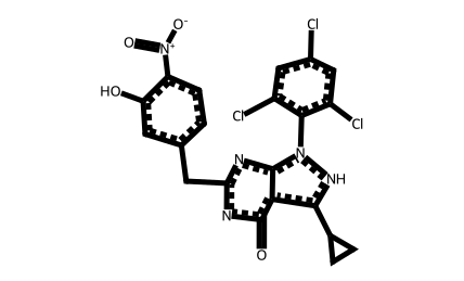 O=c1nc(Cc2ccc([N+](=O)[O-])c(O)c2)nc2n(-c3c(Cl)cc(Cl)cc3Cl)[nH]c(C3CC3)c1-2